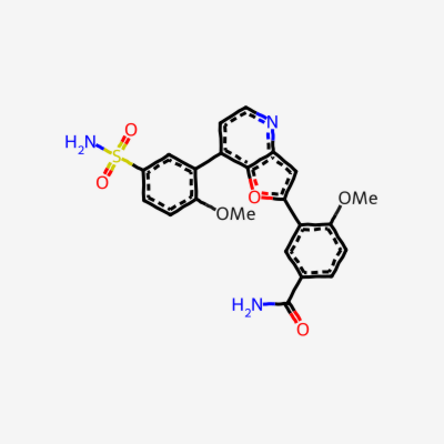 COc1ccc(C(N)=O)cc1-c1cc2nccc(-c3cc(S(N)(=O)=O)ccc3OC)c2o1